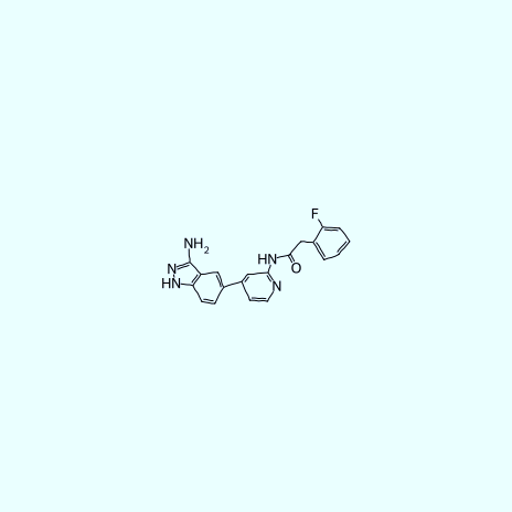 Nc1n[nH]c2ccc(-c3ccnc(NC(=O)Cc4ccccc4F)c3)cc12